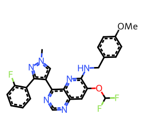 COc1ccc(CNc2nc3c(-c4cn(C)nc4-c4ccccc4F)ncnc3cc2OC(F)F)cc1